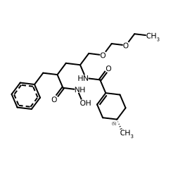 CCOCOCC(CC(Cc1ccccc1)C(=O)NO)NC(=O)C1=CC[C@@H](C)CC1